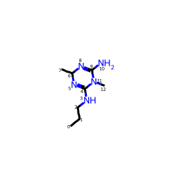 CCCNC1=NC(C)N=C(N)N1C